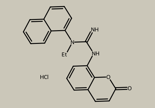 CCN(C(=N)Nc1cccc2ccc(=O)oc12)c1cccc2ccccc12.Cl